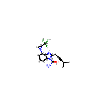 CC(C)C#CCc1nc2c(N3CC3C(F)(F)F)cccc2n1C(N)=O